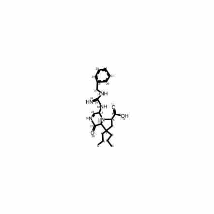 CCCC1(CCC)CC(C(=O)O)N2C(NC(=N)NCc3ccccc3)C=NC(=O)C21